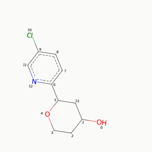 OC1CCOC(c2ccc(Cl)cn2)C1